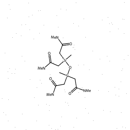 CNC(=O)C[Si](C)(CC(=O)NC)O[Si](C)(CC(=O)NC)CC(=O)NC